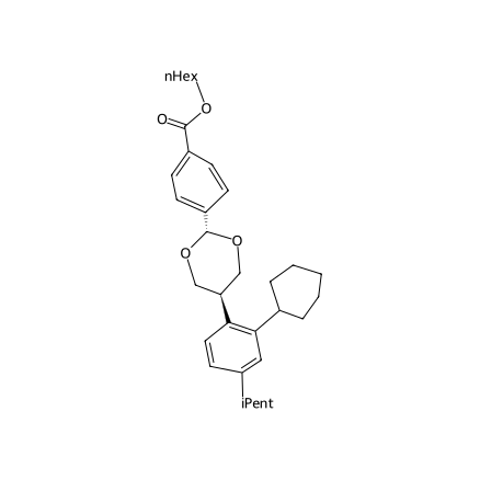 CCCCCCOC(=O)c1ccc([C@H]2OC[C@H](c3ccc(C(C)CCC)cc3C3CCCCC3)CO2)cc1